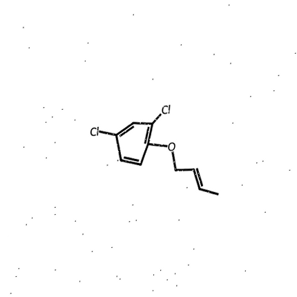 CC=CCOc1c[c]c(Cl)cc1Cl